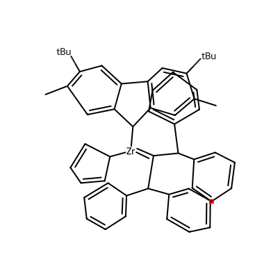 Cc1cc2c(cc1C(C)(C)C)-c1cc(C(C)(C)C)c(C)cc1[CH]2[Zr](=[C](C(c1ccccc1)c1ccccc1)C(c1ccccc1)c1ccccc1)[CH]1C=CC=C1